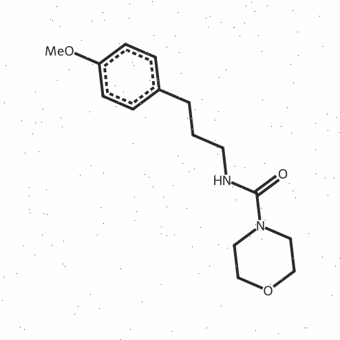 COc1ccc(CCCNC(=O)N2CCOCC2)cc1